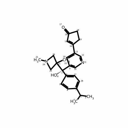 CC(C)c1ccc([C@](O)(c2cncc(C3=CC(=O)CC3)c2)C2(C)CN(C)C2)cc1